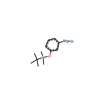 CC(C)(C)[Si](C)(C)Oc1ccc[c]([Mg][Br])c1